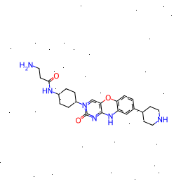 NCCC(=O)NC1CCC(n2cc3c(nc2=O)Nc2cc(C4CCNCC4)ccc2O3)CC1